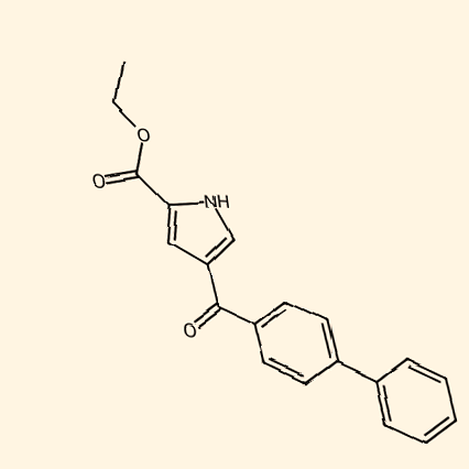 CCOC(=O)c1cc(C(=O)c2ccc(-c3ccccc3)cc2)c[nH]1